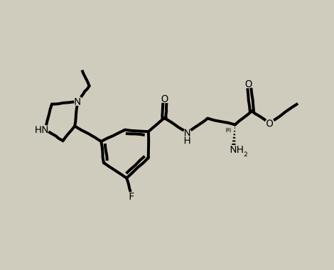 CCN1CNCC1c1cc(F)cc(C(=O)NC[C@@H](N)C(=O)OC)c1